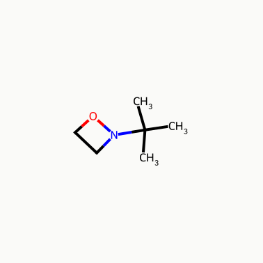 CC(C)(C)N1CCO1